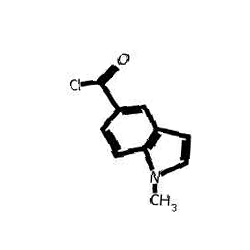 Cn1ccc2cc(C(=O)Cl)ccc21